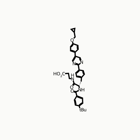 CC(C)(C)c1ccc(C(=O)N[C@@H](Cc2ccc(-c3ncc(-c4ccc(OCC5CC5)cc4)cn3)cc2)C(=O)NCCC(=O)O)cc1